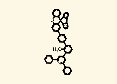 Cc1c(-c2ccc(-c3ccc4c(c3)C3(c5ccccc5O4)c4ccccc4-c4ccccc43)cc2)cccc1-c1cc(C2=CC=CCC2)nc(-c2ccccc2)c1